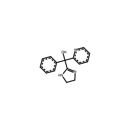 OC(C1=NCCN1)(c1ccccc1)c1ccccn1